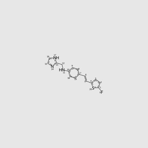 Fc1ccc(/C=C/c2ccc(NCc3ncc[nH]3)cc2)s1